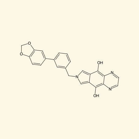 Oc1c2cn(Cc3cccc(-c4ccc5c(c4)OCO5)c3)cc2c(O)c2nccnc12